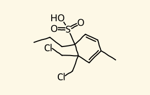 CCCC1(S(=O)(=O)O)C=CC(C)=CC1(CCl)CCl